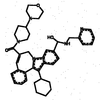 O=C(C1=Cc2ccccc2-c2c(C3CCCCC3)c3ccc(C(O)NCc4ccccn4)cc3n2C1)N1CCC(N2CCOCC2)CC1